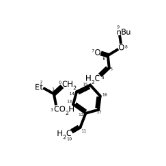 C=C(CC)C(=O)O.C=CC(=O)OCCCC.C=Cc1ccccc1